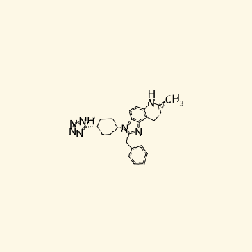 C[C@H]1CCc2c(ccc3c2nc(Cc2ccccc2)n3[C@H]2CC[C@@H](c3nnn[nH]3)CC2)N1